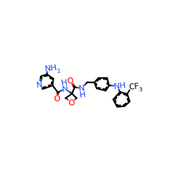 Nc1cncc(C(=O)NC2(C(=O)NCc3ccc(Nc4ccccc4C(F)(F)F)cc3)COC2)c1